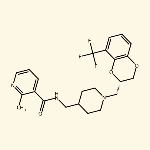 Cc1ncccc1C(=O)NCC1CCN(C[C@H]2COc3cccc(C(F)(F)F)c3O2)CC1